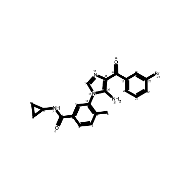 Cc1ccc(C(=O)NC2CC2)cc1-n1cnc(C(=O)c2cccc(Br)c2)c1N